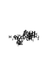 CCOC(=O)c1cc(-c2ccc(OC)c3nc(C(F)(F)F)ccc23)oc1C(C)N[S+]([O-])C(C)(C)C